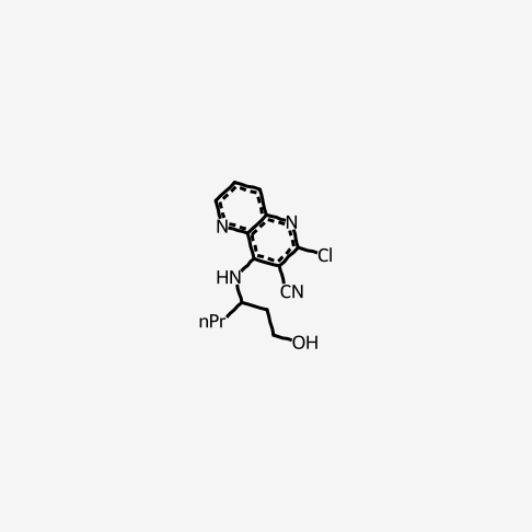 CCCC(CCO)Nc1c(C#N)c(Cl)nc2cccnc12